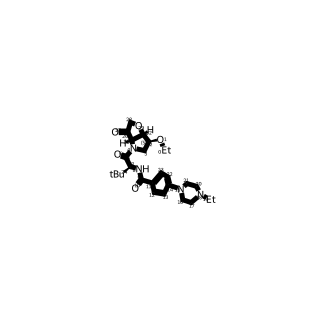 CCO[C@H]1CN(C(=O)[C@@H](NC(=O)c2ccc(N3CCN(CC)CC3)cc2)C(C)(C)C)[C@@H]2C(=O)CO[C@H]12